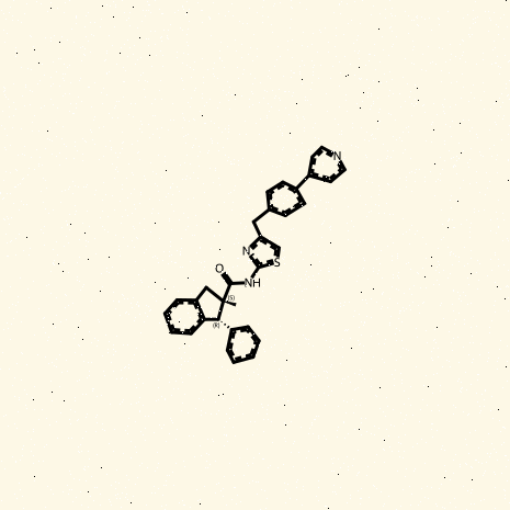 C[C@]1(C(=O)Nc2nc(Cc3ccc(-c4ccncc4)cc3)cs2)Cc2ccccc2[C@H]1c1ccccc1